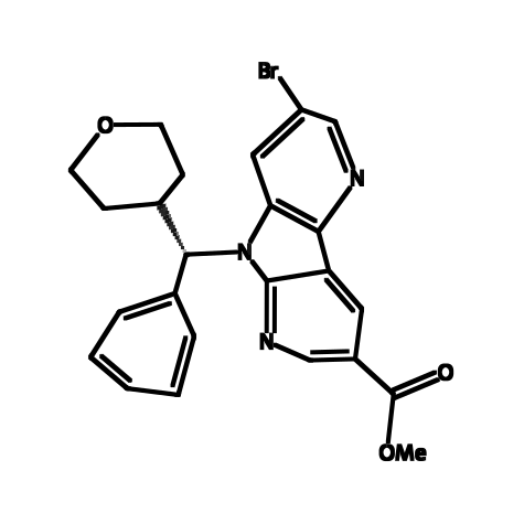 COC(=O)c1cnc2c(c1)c1ncc(Br)cc1n2[C@H](c1ccccc1)C1CCOCC1